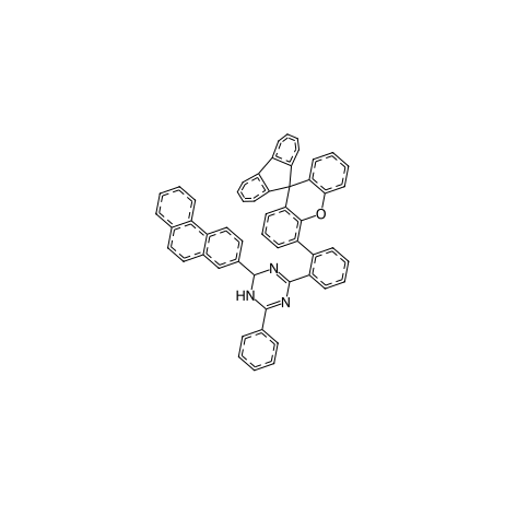 c1ccc(C2=NC(c3ccccc3-c3cccc4c3Oc3ccccc3C43c4ccccc4-c4ccccc43)=NC(c3ccc4c(ccc5ccccc54)c3)N2)cc1